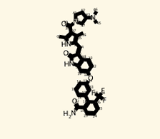 Cc1[nH]c(C=C2C(=O)Nc3cc(Oc4cccc(-c5c(C(N)=O)cccc5C(F)(F)F)c4)ccc32)c(C)c1C(=O)N1CCC(N(C)C)C1